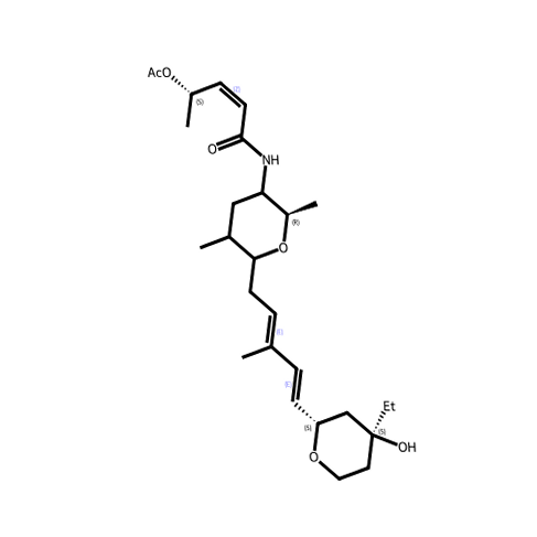 CC[C@]1(O)CCO[C@H](/C=C/C(C)=C/CC2O[C@H](C)C(NC(=O)/C=C\[C@H](C)OC(C)=O)CC2C)C1